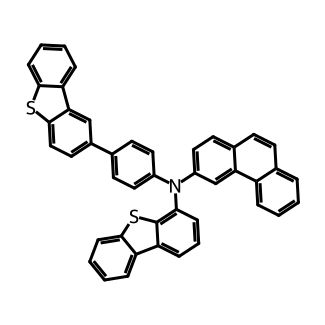 c1ccc2c(c1)ccc1ccc(N(c3ccc(-c4ccc5sc6ccccc6c5c4)cc3)c3cccc4c3sc3ccccc34)cc12